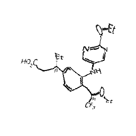 CCOc1ncc(Nc2cc([C@@H](CC)CC(=O)O)ccc2[C@@H](OCC)C(F)(F)F)cn1